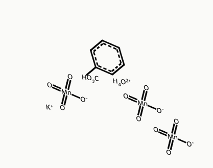 O=C(O)c1ccccc1.[K+].[OH4+2].[O]=[Mn](=[O])(=[O])[O-].[O]=[Mn](=[O])(=[O])[O-].[O]=[Mn](=[O])(=[O])[O-]